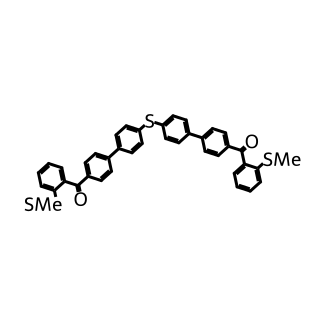 CSc1ccccc1C(=O)c1ccc(-c2ccc(Sc3ccc(-c4ccc(C(=O)c5ccccc5SC)cc4)cc3)cc2)cc1